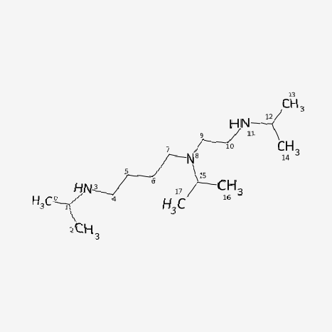 CC(C)NCCCCN(CCNC(C)C)C(C)C